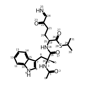 CC(=O)N[C@](C)(Cc1c[nH]c2ccccc12)C(=O)N[C@@H](CCC(=O)C=N)C(=O)SC(C)C